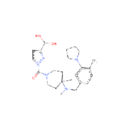 CN(Cc1ccc(C(F)(F)F)c(N2CCCC2)c1)C1(C)CCN(C(=O)n2ccc(C(O)O)n2)CC1